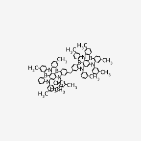 Cc1cccc(N2c3cc(C)ccc3B3c4ccc(C)cc4N4c5cc(C)ccc5B5c6ccc(Cc7ccc8c(c7)N(c7cc(C)cc(C)c7)c7c(C)c9c%10c%11c7B8c7cc(C)ccc7N%11c7ccc(C)cc7B%10c7ccccc7N9c7cc(C)cc(C)c7)cc6N(c6cccc(C)c6)c6cc2c3c4c65)c1